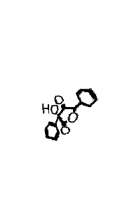 O=C1OC(c2ccccc2)C(=O)C1(O)c1ccccc1